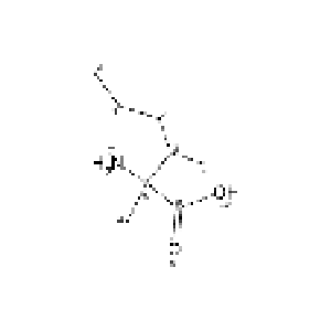 CCCC(C)C(C)(N)C(=O)O